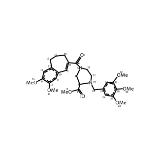 COC(=O)C1CN(C(=O)C2=Cc3cc(OC)c(OC)cc3CCC2)CCN1Cc1cc(OC)c(OC)c(OC)c1